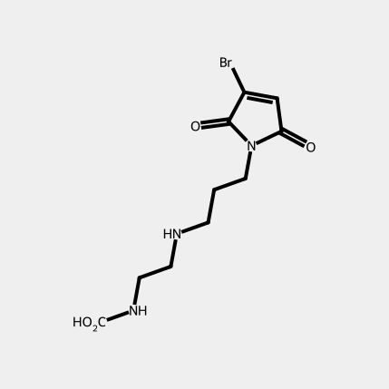 O=C(O)NCCNCCCN1C(=O)C=C(Br)C1=O